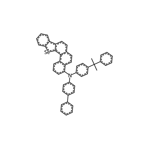 CC(C)(c1ccccc1)c1ccc(N(c2ccc(-c3ccccc3)cc2)c2cccc3c2ccc2ccc4c5ccccc5[se]c4c23)cc1